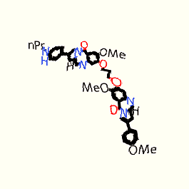 CCCNc1ccc(C2=CN3C(=O)c4cc(OC)c(OCCCOc5cc6c(cc5OC)C(=O)N5C=C(c7ccc(OC)cc7)C[C@H]5C=N6)cc4N=C[C@@H]3C2)cc1